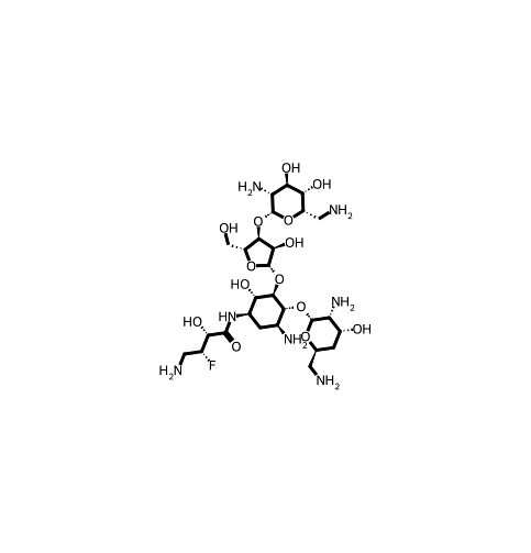 NC[C@@H]1C[C@@H](O)[C@@H](N)[C@@H](O[C@H]2[C@H](O[C@@H]3O[C@H](CO)[C@@H](O[C@H]4O[C@@H](CN)[C@@H](O)[C@H](O)[C@H]4N)[C@H]3O)[C@@H](O)[C@H](NC(=O)[C@@H](O)[C@H](F)CN)C[C@@H]2N)O1